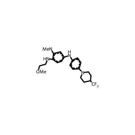 CNc1cc(Nc2ccc(N3CCC(C(F)(F)F)CC3)cc2)ccc1NCCOC